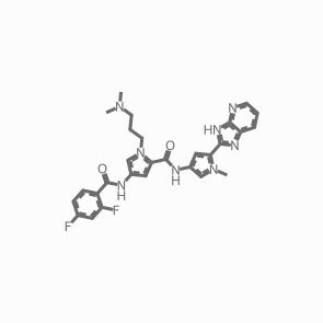 CN(C)CCCn1cc(NC(=O)c2ccc(F)cc2F)cc1C(=O)Nc1cc(-c2nc3cccnc3[nH]2)n(C)c1